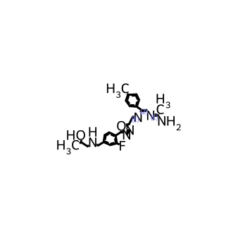 C\C(N)=N/C=C(\N=C\c1nnc(-c2ccc(CNCC(C)O)cc2F)o1)c1ccc(C)cc1